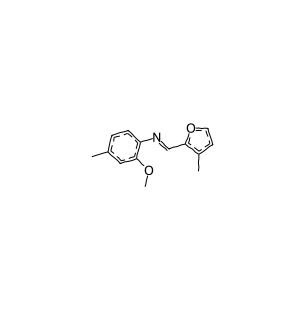 COc1cc(C)ccc1N=Cc1occc1C